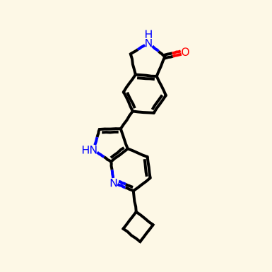 O=C1NCc2cc(-c3c[nH]c4nc(C5CCC5)ccc34)ccc21